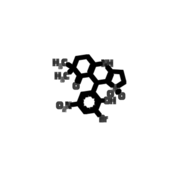 CC1(C)CCC2=C(C1=O)C(c1cc([N+](=O)[O-])cc(Br)c1O)C1=C(CCS1(=O)=O)N2